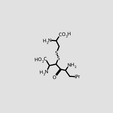 CC(C)CC(N)C(=O)C(SSCC(N)C(=O)O)C(N)C(=O)O